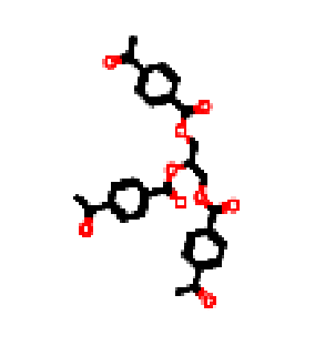 CC(=O)c1ccc(C(=O)OCC(COC(=O)c2ccc(C(C)=O)cc2)OC(=O)c2ccc(C(C)=O)cc2)cc1